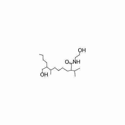 CCCCC(CO)C(C)CCCCC(C(=O)NCCO)C(C)C